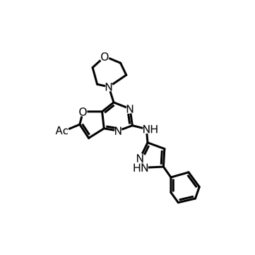 CC(=O)c1cc2nc(Nc3cc(-c4ccccc4)[nH]n3)nc(N3CCOCC3)c2o1